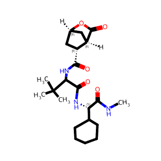 CNC(=O)[C@@H](NC(=O)C(NC(=O)[C@@H]1C[C@@H]2C[C@H]1C(=O)O2)C(C)(C)C)C1CCCCC1